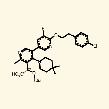 Cc1ncc(-c2cnc(OCCc3ccc(Cl)cc3)c(F)c2)c(N2CCC(C)(C)CC2)c1[C@H](OC(C)(C)C)C(=O)O